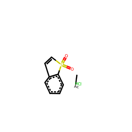 CC(C)=O.Cl.O=S1(=O)C=Cc2ccccc21